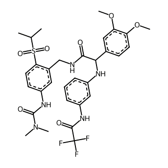 COc1ccc(C(Nc2cccc(NC(=O)C(F)(F)F)c2)C(=O)NCc2cc(NC(=O)N(C)C)ccc2S(=O)(=O)C(C)C)cc1OC